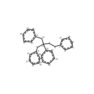 c1ccc(CCC(Cc2ccccc2)(Cc2ccccc2)c2ccccc2)cc1